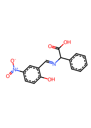 O=C(O)C(N=Cc1cc([N+](=O)[O-])ccc1O)c1ccccc1